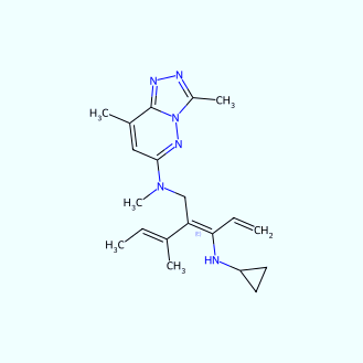 C=C/C(NC1CC1)=C(\CN(C)c1cc(C)c2nnc(C)n2n1)C(C)=CC